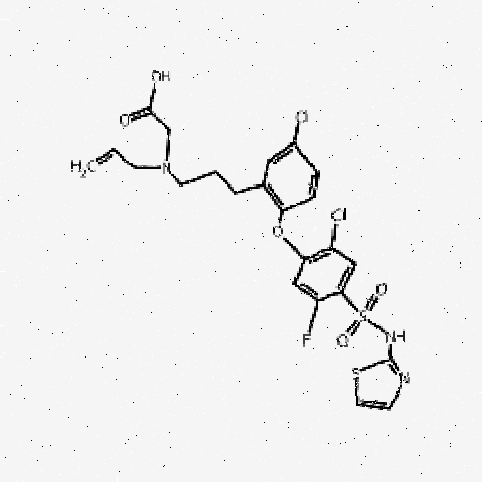 C=CCN(CCCc1cc(Cl)ccc1Oc1cc(F)c(S(=O)(=O)Nc2nccs2)cc1Cl)CC(=O)O